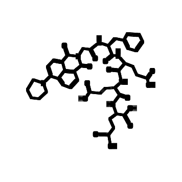 O=C(O)CCC(NC(=O)C(CCC(=O)O)NC(=O)C(CCC(=O)O)NC(=O)[C@H](Cc1ccccc1)NC(=O)CN1C(=O)c2cccc3c(N4CCCCC4)ccc(c23)C1=O)C(=O)O